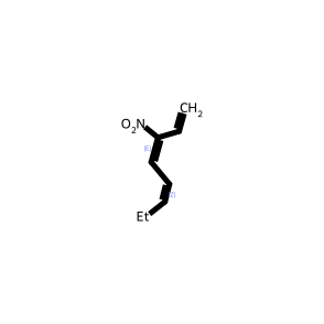 C=C/C(=C\C=C/CC)[N+](=O)[O-]